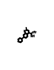 CCCC(=N)c1cc(C)nc2cc(-c3cc[c]cc3)ccc12